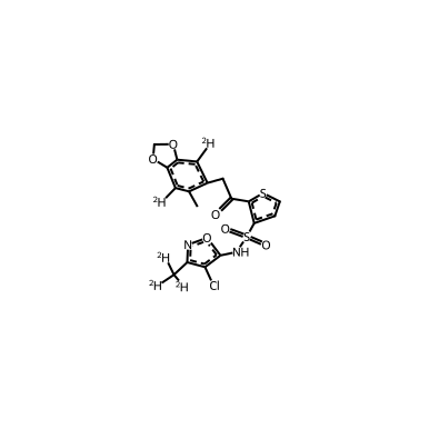 [2H]c1c(C)c(CC(=O)c2sccc2S(=O)(=O)Nc2onc(C([2H])([2H])[2H])c2Cl)c([2H])c2c1OCO2